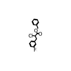 O=C(OCc1ccccc1)C(Cl)Cc1cccc(F)c1